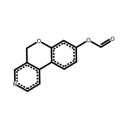 O=COc1ccc2c(c1)OCc1cnccc1-2